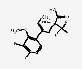 CC=C(C[C@@](O)(C(=O)O)C(F)(F)F)c1ccc(F)c(F)c1OC